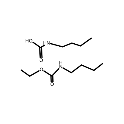 CCCCNC(=O)O.CCCCNC(=O)OCC